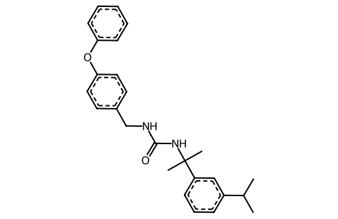 CC(C)c1cccc(C(C)(C)NC(=O)NCc2ccc(Oc3ccccc3)cc2)c1